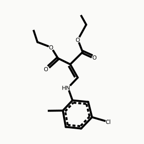 CCOC(=O)C(=CNc1cc(Cl)ccc1C)C(=O)OCC